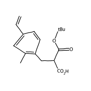 C=Cc1ccc(CC(C(=O)O)C(=O)OC(C)(C)C)c(C)c1